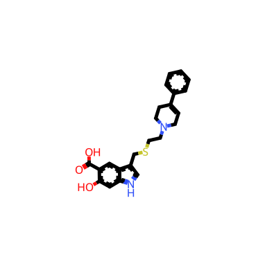 O=C(O)c1cc2c(CSCCN3CC=C(c4ccccc4)CC3)c[nH]c2cc1O